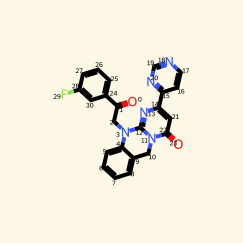 O=C(CN1c2ccccc2Cn2c1nc(-c1ccncn1)cc2=O)c1cccc(F)c1